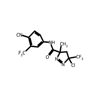 [C-]#[N+]c1ccc(NC(=O)C2(C)CC(Cl)(C(F)(F)F)N=N2)cc1C(F)(F)F